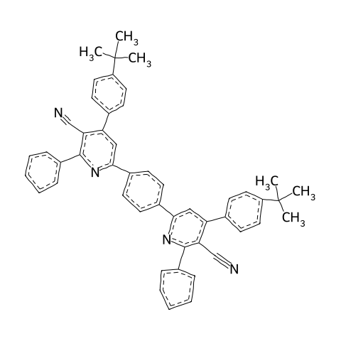 CC(C)(C)c1ccc(-c2cc(-c3ccc(-c4cc(-c5ccc(C(C)(C)C)cc5)c(C#N)c(-c5ccccc5)n4)cc3)nc(-c3ccccc3)c2C#N)cc1